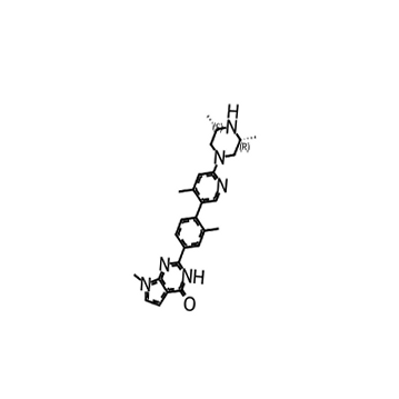 Cc1cc(-c2nc3c(ccn3C)c(=O)[nH]2)ccc1-c1cnc(N2C[C@@H](C)N[C@@H](C)C2)cc1C